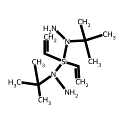 C=C[Si](C=C)(N(N)C(C)(C)C)N(N)C(C)(C)C